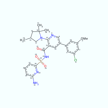 COc1cc(Cl)cc(-c2cnc(N3CC(C)CC3(C)C)c(C(=O)NS(=O)(=O)c3cccc(N)n3)c2)c1